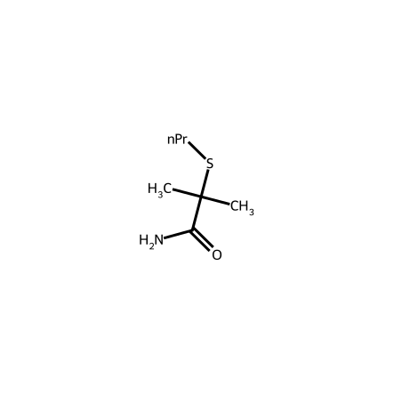 CCCSC(C)(C)C(N)=O